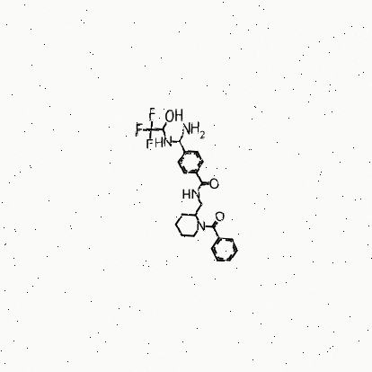 NC(NC(O)C(F)(F)F)c1ccc(C(=O)NCC2CCCCN2C(=O)c2ccccc2)cc1